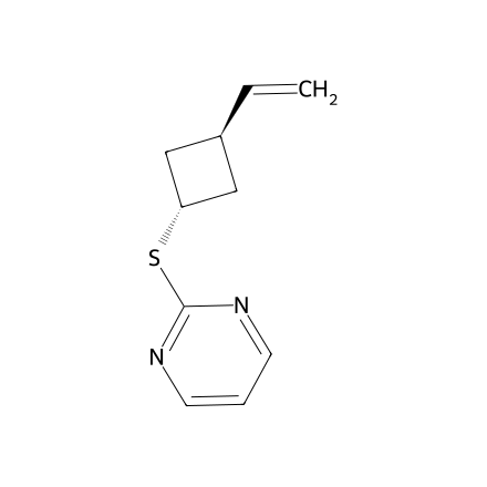 C=C[C@H]1C[C@H](Sc2ncccn2)C1